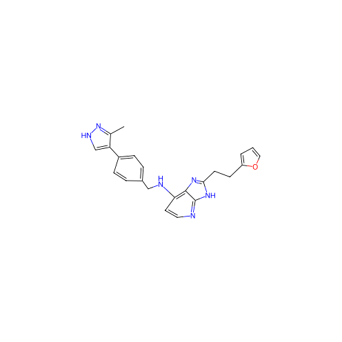 Cc1n[nH]cc1-c1ccc(CNc2ccnc3[nH]c(CCc4ccco4)nc23)cc1